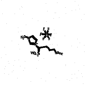 CCCCCCCCCCCCCC([n+]1ccn(C)c1)S(=O)(=O)O.F[P-](F)(F)(F)(F)F